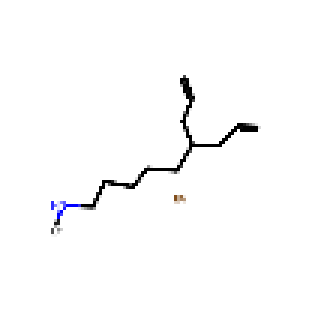 Br.C=CCC(CC=C)CCCCCNCC